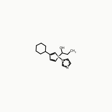 CCC(O)S1(n2ccnc2)C=CC(C2CCCCC2)=C1